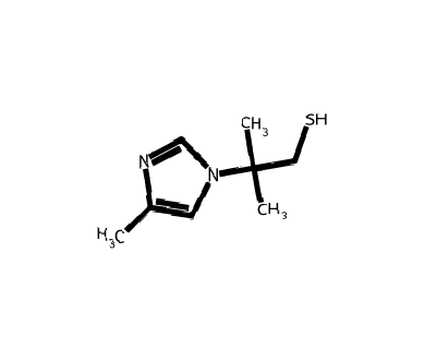 Cc1cn(C(C)(C)CS)cn1